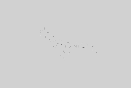 C=CC(=O)Nc1ccc(NNc2ccc(NNc3c(S(=O)(=O)O)cc4cc(S(=O)(=O)O)c(N)cc4c3O)c3cc(S(=O)(=O)O)ccc23)cc1